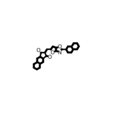 O=C1C(=Cc2cc3oc(-c4ccc5ccccc5c4)nc3o2)C(=O)c2cc3ccccc3cc21